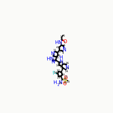 CCC(=O)Nc1cncc(-c2cnc3[nH]nc(-c4cc5c(-c6cc(F)cc(C(N)S(C)(=O)=O)c6)cncc5[nH]4)c3c2)c1